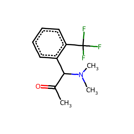 CC(=O)C(c1ccccc1C(F)(F)F)N(C)C